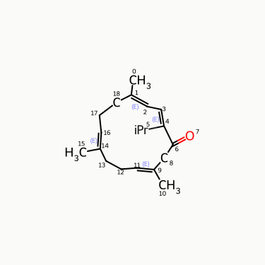 C/C1=C\C=C(/C(C)C)C(=O)C/C(C)=C/CC/C(C)=C/CC1